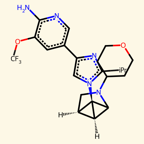 CC(C)c1nc(-c2cnc(N)c(OC(F)(F)F)c2)cn1[C@@]12C3[C@H]1[C@H]2CN3C1CCOCC1